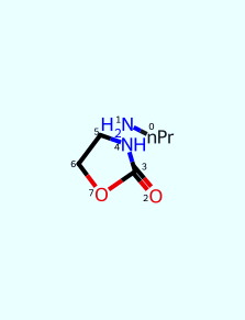 CCCN.O=C1NCCO1